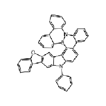 c1ccc(-n2c3cc4c(cc3c3c5c(ccc32)-c2ccccc2N2B5c3ccccc3-c3ccccc32)oc2ccccc24)cc1